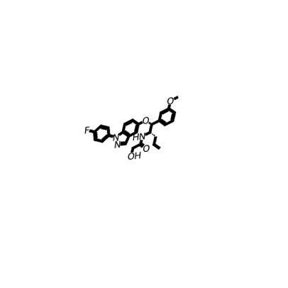 CCC[C@H](NC(=O)CO)[C@@H](Oc1ccc2c(cnn2-c2ccc(F)cc2)c1)c1cccc(OC)c1